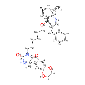 CCC1(c2ccc3c(c2)OCCO3)NC(=O)N(CCCCCCOc2c(Cc3ccccc3)cnc3c(C(F)(F)F)cccc23)C1=O